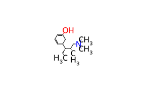 CC[C@@H](C1C=CC=C(O)C1)[C@@H](C)CN(C)C